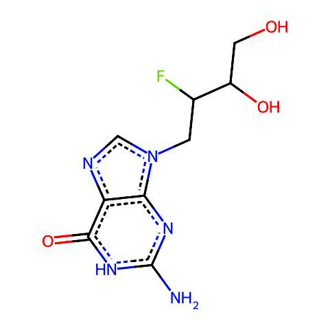 Nc1nc2c(ncn2CC(F)C(O)CO)c(=O)[nH]1